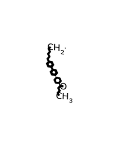 [CH2]CCCCCc1ccc(-c2ccc([C@H]3CC[C@H](C(=O)CCCC)CC3)cc2)cc1